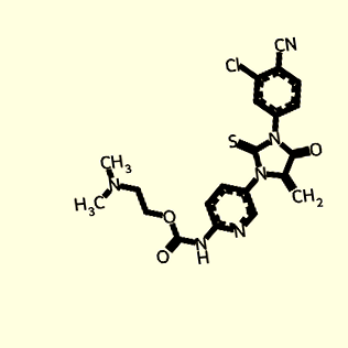 C=C1C(=O)N(c2ccc(C#N)c(Cl)c2)C(=S)N1c1ccc(NC(=O)OCCN(C)C)nc1